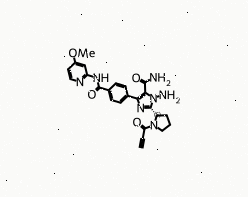 C#CC(=O)N1CCC[C@H]1c1nc(-c2ccc(C(=O)Nc3cc(OC)ccn3)cc2)c(C(N)=O)n1N